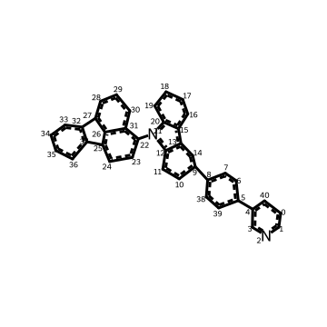 c1cncc(-c2ccc(-c3ccc4c(c3)c3ccccc3n4-c3ccc4c5c(cccc35)-c3ccccc3-4)cc2)c1